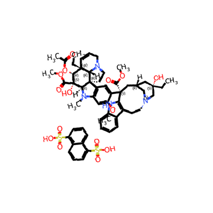 CC[C@]1(O)C[C@@H]2C[N@@](CCc3c([nH]c4ccccc34)[C@@](C(=O)OC)(c3cc4c(cc3OC)N(C)[C@H]3[C@@](O)(C(=O)OC)[C@H](OC(C)=O)[C@]5(CC)C=CCN6CC[C@]43[C@@H]65)C2)C1.O=S(=O)(O)c1cccc2c(S(=O)(=O)O)cccc12